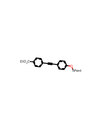 CCCCCOc1ccc(C#Cc2ccc(C(=O)OCC)cc2)cc1